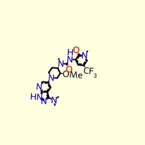 CO[C@H]1CN(c2cnc3[nH]nc(N(C)C)c3c2)CC[C@@H]1N(C)C(=O)Nc1cc(C(F)(F)F)cn(C)c1=O